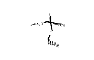 CCCCC(F)(F)S(=O)(=O)O.CNC